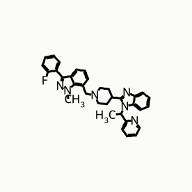 CC(c1ccccn1)n1c(C2CCN(Cc3cccc4c(-c5ccccc5F)nn(C)c34)CC2)nc2ccccc21